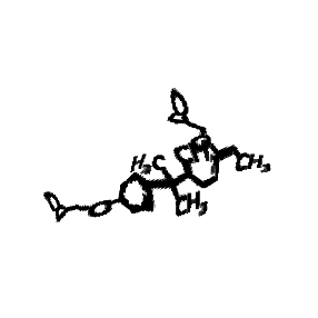 C=C(/C=C\C(=C/C)OCC1CO1)C(C)(C)c1ccc(OCC2CO2)cc1